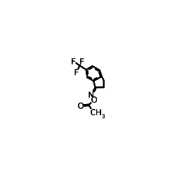 CC(=O)ON=C1CCc2ccc(C(F)(F)F)cc21